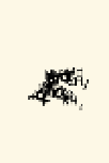 CC1(C)CC[C@@H](Nc2ncc3nc(Nc4c(F)cc(F)cc4F)n(C4CCC(C(N)=O)CC4)c3n2)C[C@H]1O